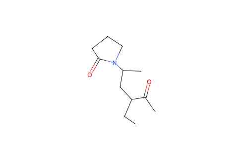 CCC(CC(C)N1CCCC1=O)C(C)=O